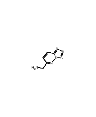 NCc1ccc2nnnn2n1